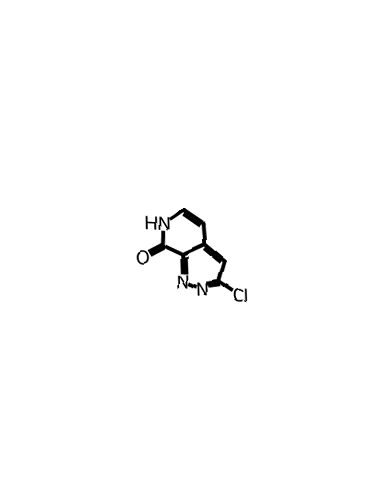 O=c1[nH]ccc2cc(Cl)nnc12